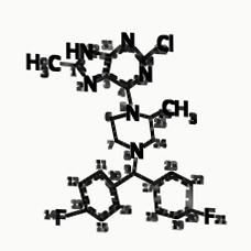 Cc1nc2c(N3CCN(C(c4ccc(F)cc4)c4ccc(F)cc4)CC3C)nc(Cl)nc2[nH]1